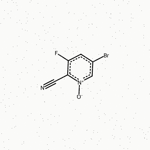 N#Cc1c(F)cc(Br)c[n+]1[O-]